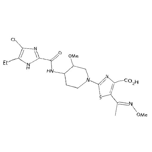 CCc1[nH]c(C(=O)NC2CCN(c3nc(C(=O)O)c(C(C)=NOC)s3)CC2OC)nc1Cl